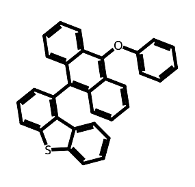 c1ccc(Oc2c3ccccc3c(-c3cccc4sc5ccccc5c34)c3ccccc23)cc1